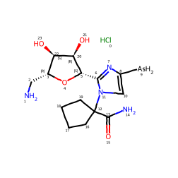 Cl.NC[C@H]1O[C@@H](c2nc([AsH2])cn2C2(C(N)=O)CCCC2)[C@H](O)[C@@H]1O